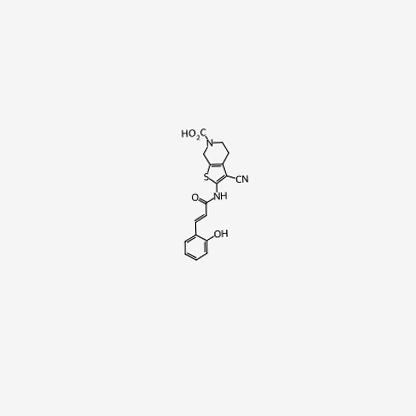 N#Cc1c(NC(=O)C=Cc2ccccc2O)sc2c1CCN(C(=O)O)C2